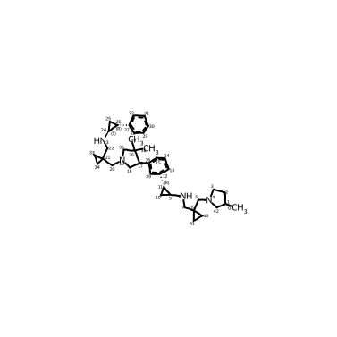 CC1CCN(CC2(CNC3C[C@@H]3c3cccc(C4CN(CC5(CN[C@H]6C[C@@H]6c6ccccc6)CC5)CC4(C)C)c3)CC2)C1